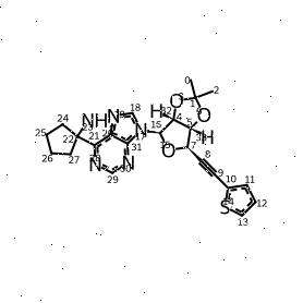 CC1(C)O[C@@H]2[C@H](O1)[C@@H](C#Cc1cccs1)O[C@H]2n1cnc2c(C3(N)CCCC3)ncnc21